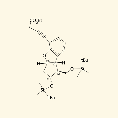 CCOC(=O)CC#Cc1cccc2c1O[C@H]1C[C@@H](O[Si](C)(C)C(C)(C)C)[C@H](CO[Si](C)(C)C(C)(C)C)[C@@H]21